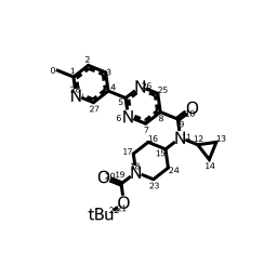 Cc1ccc(-c2ncc(C(=O)N(C3CC3)C3CCN(C(=O)OC(C)(C)C)CC3)cn2)cn1